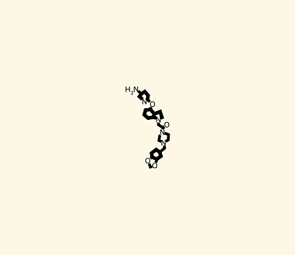 Nc1ccc(Oc2cccc3c2ccn3CC(=O)N2CCN(Cc3ccc4c(c3)OCO4)CC2)nc1